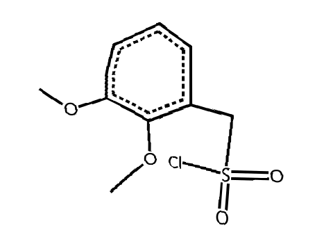 COc1cccc(CS(=O)(=O)Cl)c1OC